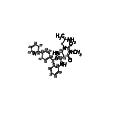 CC(N)CN1C(=O)N(C)C(=O)C2C(Nc3ccccc3)N(Cc3ccc(-c4ccccn4)cc3)NC21